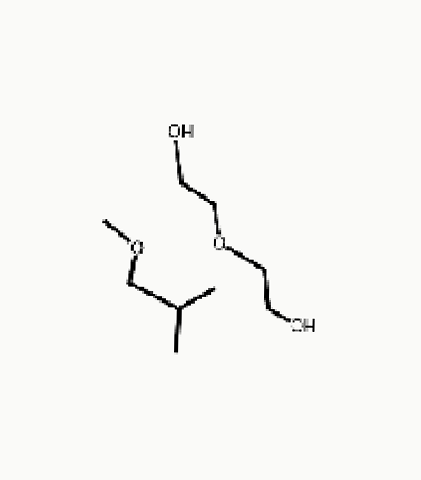 COCC(C)C.OCCOCCO